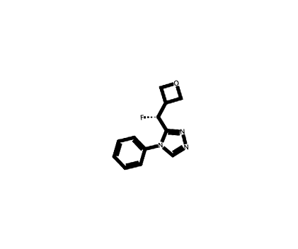 F[C@@H](c1nncn1-c1ccccc1)C1COC1